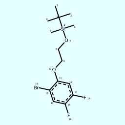 CC(C)(C)[Si](C)(C)OCCOc1cc(F)c(F)cc1Br